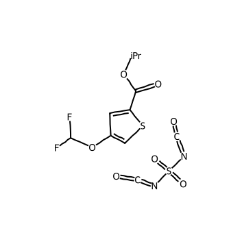 CC(C)OC(=O)c1cc(OC(F)F)cs1.O=C=NS(=O)(=O)N=C=O